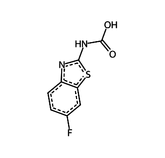 O=C(O)Nc1nc2ccc(F)cc2s1